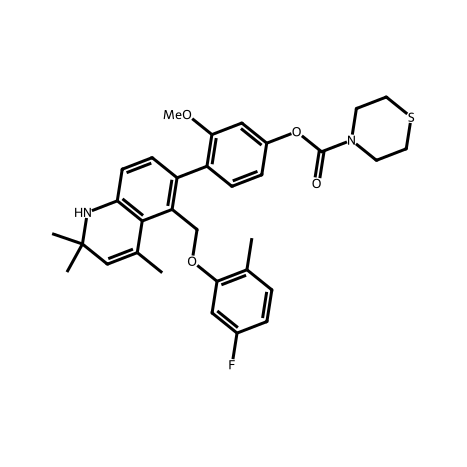 COc1cc(OC(=O)N2CCSCC2)ccc1-c1ccc2c(c1COc1cc(F)ccc1C)C(C)=CC(C)(C)N2